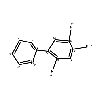 Fc1cc(F)c(-c2ccccn2)cc1F